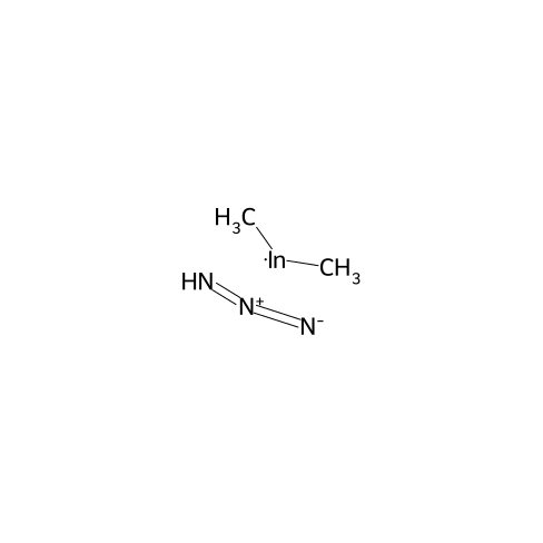 [CH3][In][CH3].[N-]=[N+]=N